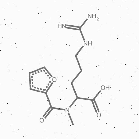 CN(C(=O)c1ccco1)C(CCCNC(=N)N)C(=O)O